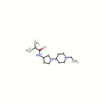 CCN1CCC(N2CCC(NC(=O)C(C)C)C2)CC1